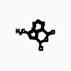 Cc1cc2c3c(ncnn13)C(=O)OC2Cl